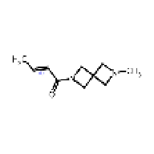 C/C=C/C(=O)N1CC2(CN(C)C2)C1